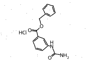 Cl.NC(=O)Nc1cccc(C(=O)OCc2ccccc2)c1